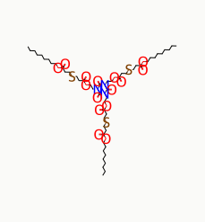 CCCCCCCCCOC(=O)CCSCCC(=O)OCCn1c(=O)n(CCOC(=O)CCSCCC(=O)OCCCCCCCCC)c(=O)n(CCOC(=O)CCSCCC(=O)OCCCCCCCCC)c1=O